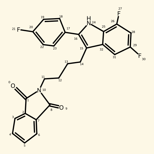 O=C1c2ccccc2C(=O)N1CCCCc1c(-c2ccc(F)cc2)[nH]c2c(F)cc(F)cc12